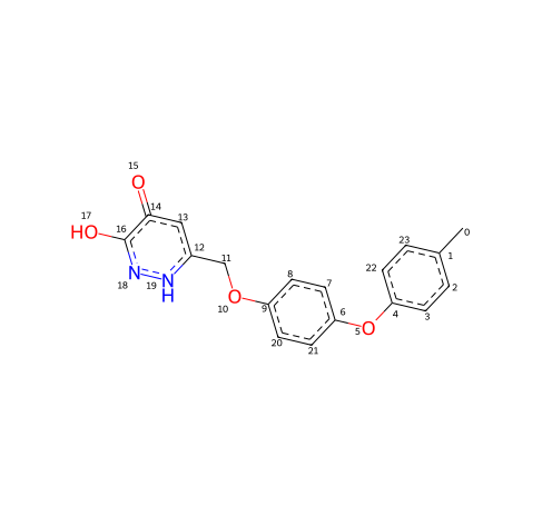 Cc1ccc(Oc2ccc(OCc3cc(=O)c(O)n[nH]3)cc2)cc1